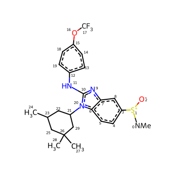 CN[S+]([O-])c1ccc2c(c1)nc(Nc1ccc(OC(F)(F)F)cc1)n2C1CC(C)CC(C)(C)C1